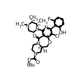 C[C@@H]1[C@H](C)N(c2nc(-c3c(O)cccc3F)c(Cl)c3c2C(=O)N2CCN(C(=O)OC(C)(C)C)C[C@@H]2CO3)CCN1C